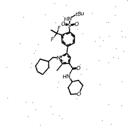 Cc1c(C(=O)NC2CCOCC2)cc(-c2ccc(S(=O)(=O)NC(C)(C)C)c(C(C)(F)F)c2)n1CC1CCCCC1